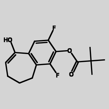 CC(C)(C)C(=O)Oc1c(F)cc2c(c1F)CCCC=C2O